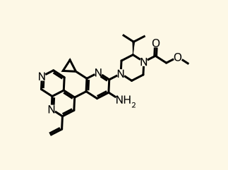 C=Cc1cc(-c2cc(N)c(N3CCN(C(=O)COC)[C@H](C(C)C)C3)nc2C2CC2)c2ccncc2n1